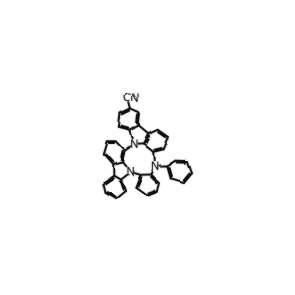 N#Cc1ccc2c(c1)c1cccc3c1n2c1cccc2c4ccccc4n(c4ccccc4n3-c3ccccc3)c21